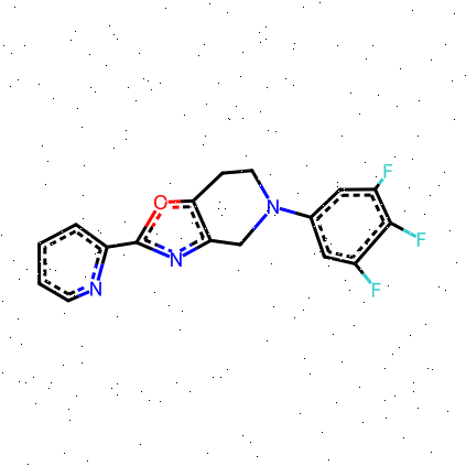 Fc1cc(N2CCc3oc(-c4ccccn4)nc3C2)cc(F)c1F